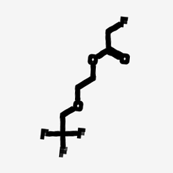 O=C(CF)OCCOCC(F)(F)F